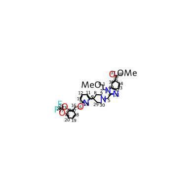 COCCn1c(CN2CCC(c3cccc(OCc4cccc5c4OC(F)(F)O5)n3)CC2)nc2ccc(C(=O)OC)cc21